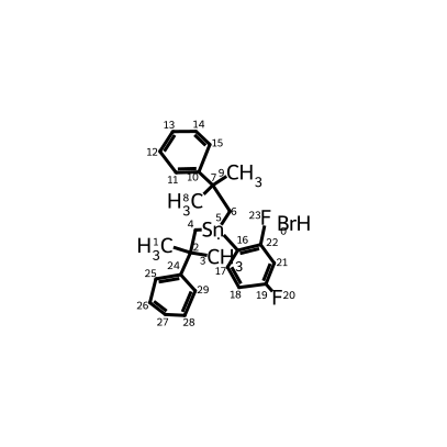 Br.CC(C)([CH2][Sn]([CH2]C(C)(C)c1ccccc1)[c]1ccc(F)cc1F)c1ccccc1